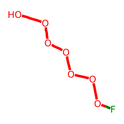 OOOOOOOF